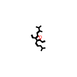 C=Cc1oc(/C=C(\C)C(C)C)c(C=C)c1/C=C\CC(C)C